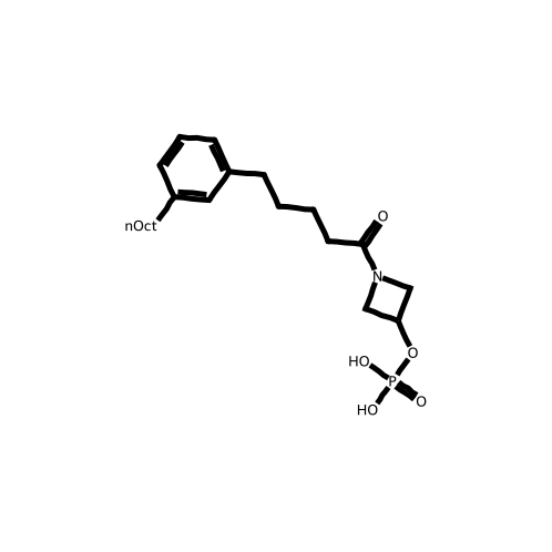 CCCCCCCCc1cccc(CCCCC(=O)N2CC(OP(=O)(O)O)C2)c1